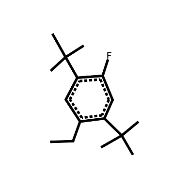 CCc1cc(C(C)(C)C)c(F)cc1C(C)(C)C